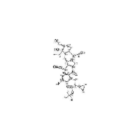 CC[C@@]1(O)C(=C=O)OCC2=C1C=C1C3=C(CN1C2=C=O)N(C)c1c(CN(C(=O)OC(C)(C)C)C2CC2)cc(F)cc1C3=C=O